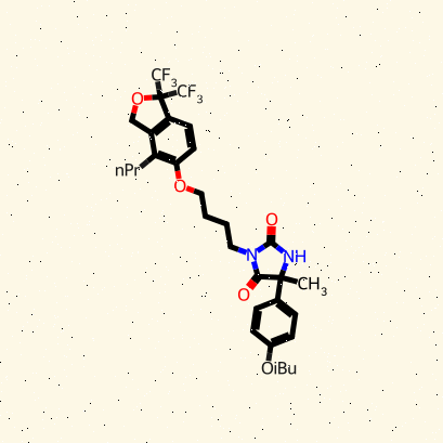 CCCc1c(OCCCCN2C(=O)NC(C)(c3ccc(OCC(C)C)cc3)C2=O)ccc2c1COC2(C(F)(F)F)C(F)(F)F